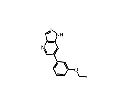 CCOc1cccc(-c2cnc3cn[nH]c3c2)c1